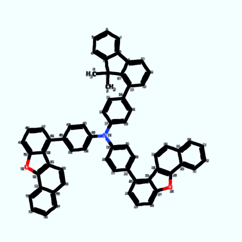 CC1(C)c2ccccc2-c2cccc(-c3ccc(N(c4ccc(-c5cccc6oc7c8ccccc8ccc7c56)cc4)c4ccc(-c5cccc6oc7c8ccccc8ccc7c56)cc4)cc3)c21